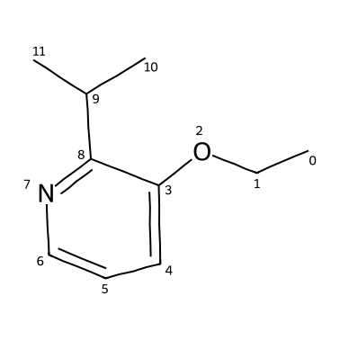 CCOc1cccnc1C(C)C